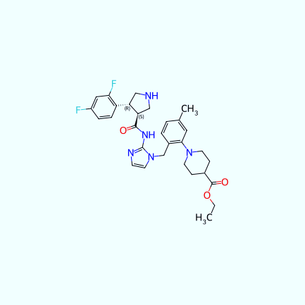 CCOC(=O)C1CCN(c2cc(C)ccc2Cn2ccnc2NC(=O)[C@@H]2CNC[C@H]2c2ccc(F)cc2F)CC1